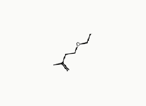 [CH2]COCCC(=C)C